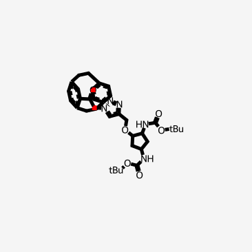 CC(C)(C)OC(=O)NC1CC(NC(=O)OC(C)(C)C)C(OCc2cn(CC(=O)c3cc4ccc3CCc3ccc(cc3)CC4)nn2)C1